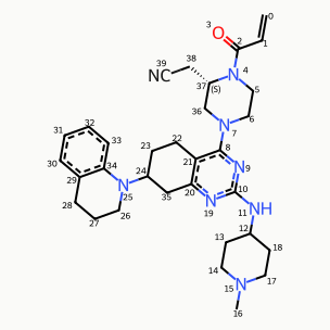 C=CC(=O)N1CCN(c2nc(NC3CCN(C)CC3)nc3c2CCC(N2CCCc4ccccc42)C3)C[C@@H]1CC#N